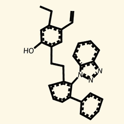 C=Cc1cc(CCc2cccc(-c3ccccc3)c2-n2nnc3ccccc32)c(O)cc1CC